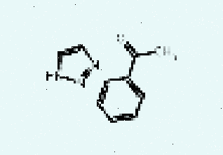 CC(=O)c1ccccc1.c1c[nH]nn1